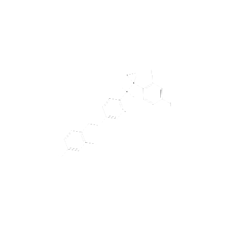 Fc1ccc(C2(C(F)(F)c3ccc(OCc4ccc(Cl)cc4F)cn3)CO2)c(F)c1